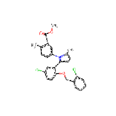 COC(=O)c1cc(-n2c(C)ccc2-c2cc(Cl)ccc2OCc2ccccc2Cl)ccc1C